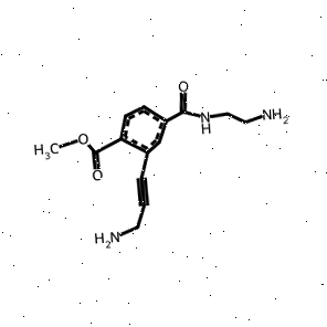 COC(=O)c1ccc(C(=O)NCCN)cc1C#CCN